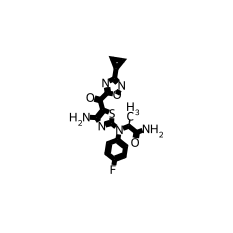 C[C@H](C(N)=O)N(c1ccc(F)cc1)c1nc(N)c(C(=O)c2nc(C3CC3)no2)s1